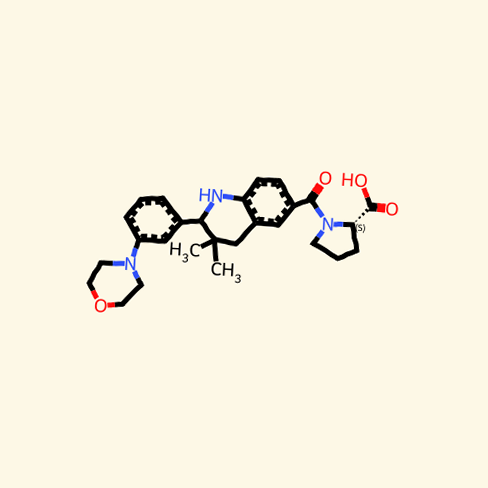 CC1(C)Cc2cc(C(=O)N3CCC[C@H]3C(=O)O)ccc2NC1c1cccc(N2CCOCC2)c1